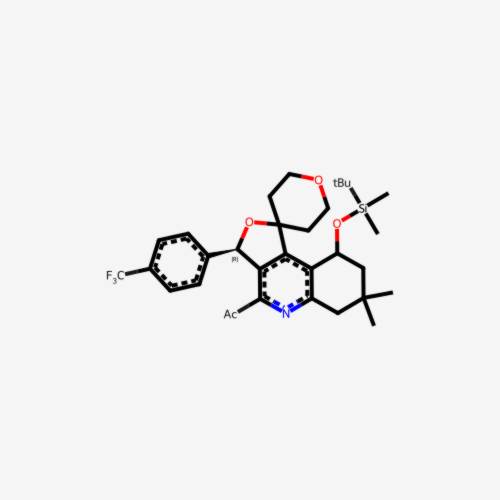 CC(=O)c1nc2c(c3c1[C@@H](c1ccc(C(F)(F)F)cc1)OC31CCOCC1)C(O[Si](C)(C)C(C)(C)C)CC(C)(C)C2